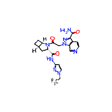 NC(=O)c1nn(CC(=O)N2[C@@H]3CC[C@@H]3C[C@H]2C(=O)Nc2ccn(CC(F)(F)F)n2)c2cnccc12